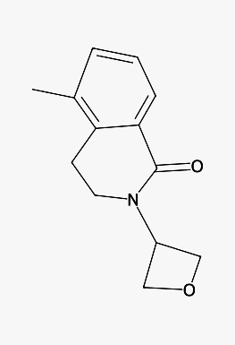 Cc1cccc2c1CCN(C1COC1)C2=O